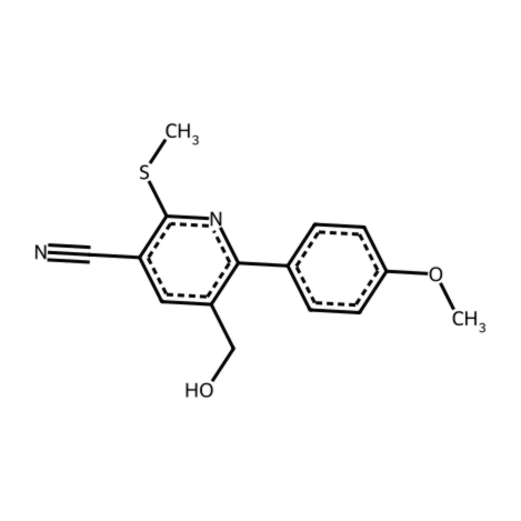 COc1ccc(-c2nc(SC)c(C#N)cc2CO)cc1